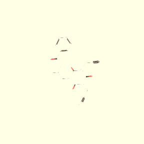 C#CCn1c(=O)n(CC#C)c(=O)n(CC(CC)OC(=O)c2ccccc2)c1=O